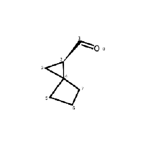 O=C[C@@H]1CC12CCC2